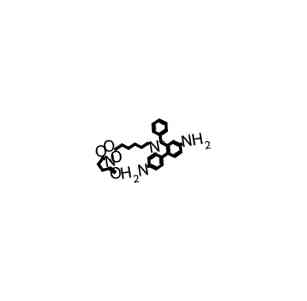 Nc1ccc2c(c1)c(-c1ccccc1)[n+](CCCCCC(=O)ON1C(=O)CCC1=O)c1cc(N)ccc21